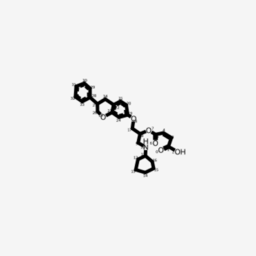 O=C(O)/C=C\C(=O)OC(CNC1CCCCC1)COc1ccc2c(c1)OCC(c1ccccc1)C2